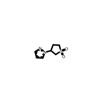 O=S1(=O)CCC(n2c[c]cn2)C1